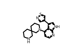 c1cc(N2CCCC3(CCCNC3)C2)c2c(-c3cnsc3)c[nH]c2n1